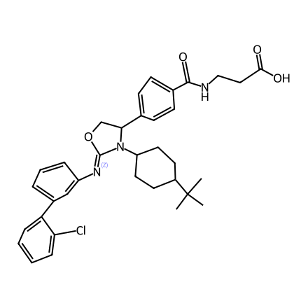 CC(C)(C)C1CCC(N2/C(=N/c3cccc(-c4ccccc4Cl)c3)OCC2c2ccc(C(=O)NCCC(=O)O)cc2)CC1